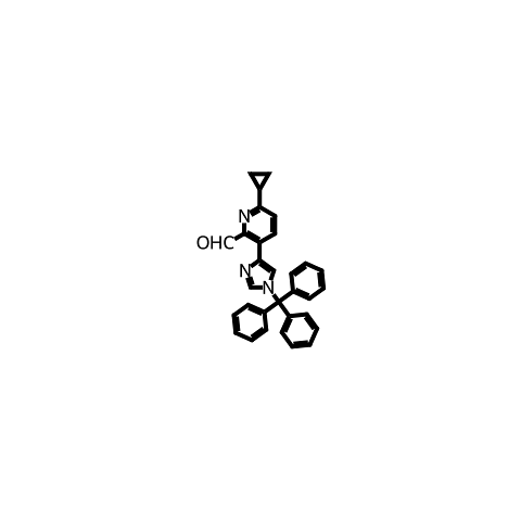 O=Cc1nc(C2CC2)ccc1-c1cn(C(c2ccccc2)(c2ccccc2)c2ccccc2)cn1